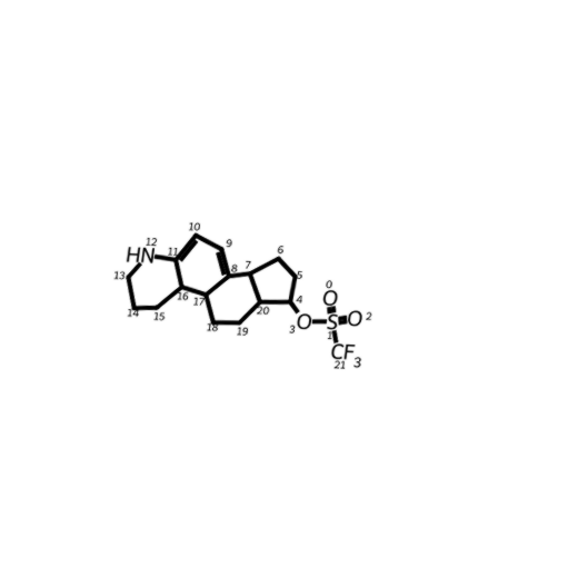 O=S(=O)(OC1CCC2C3=CC=C4NCCCC4C3CCC12)C(F)(F)F